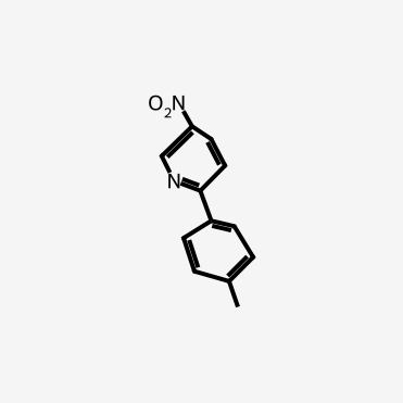 Cc1ccc(-c2ccc([N+](=O)[O-])cn2)cc1